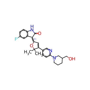 CC1(C)O/C(=C2/C(=O)Nc3ccc(F)cc32)C=C1c1ccc(N2CCCC(CO)C2)nc1